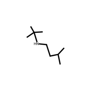 CC(C)CCNC(C)(C)C